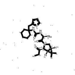 CC(C)(C)[C@H](NC(=O)NC1(Cc2cccs2)CCCCC1)C(=O)N1C[C@H]2[C@@H]([C@H]1C(=O)CI)C2(C)C